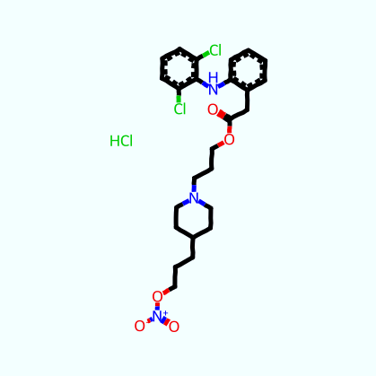 Cl.O=C(Cc1ccccc1Nc1c(Cl)cccc1Cl)OCCCN1CCC(CCCO[N+](=O)[O-])CC1